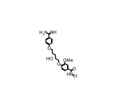 CCNC(=O)c1ccc(OCCCCCOc2ccc(C(=N)N)cc2)c(OC)c1.Cl